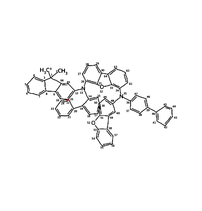 CC1(C)c2ccccc2-c2ccc(N(c3ccccc3-c3ccccc3)c3cccc4c3oc3c(N(c5ccc(-c6ccccc6)cc5)c5ccc6oc7ccccc7c6c5)cccc34)cc21